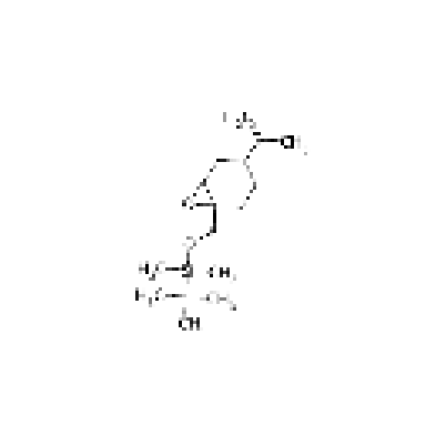 C=C(C)C1CC[C@]2(CO[Si](C)(C)C(C)(C)C)OC2C1